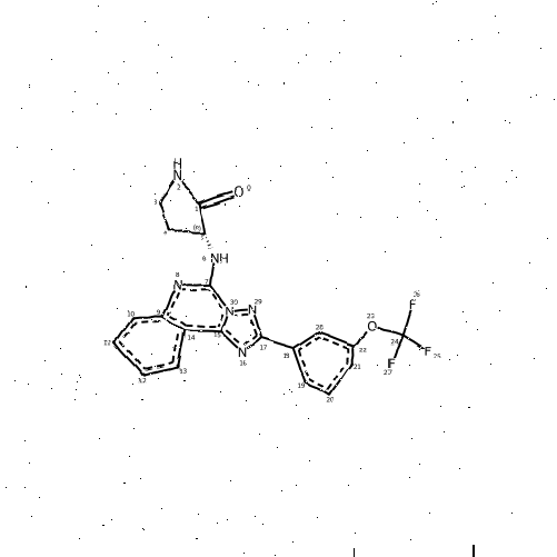 O=C1NCC[C@H]1Nc1nc2ccccc2c2nc(-c3cccc(OC(F)(F)F)c3)nn12